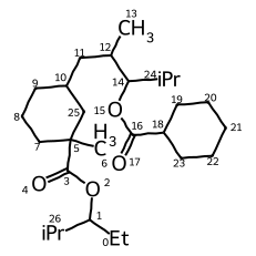 CCC(OC(=O)C1(C)CCCC(CC(C)C(OC(=O)C2CCCCC2)C(C)C)C1)C(C)C